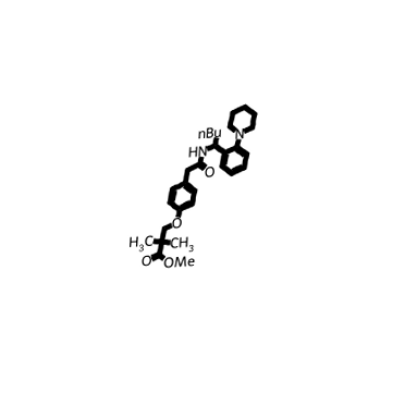 CCCCC(NC(=O)Cc1ccc(OCC(C)(C)C(=O)OC)cc1)c1ccccc1N1CCCCC1